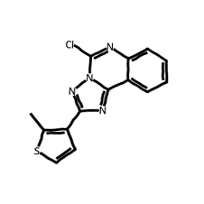 Cc1sccc1-c1nc2c3ccccc3nc(Cl)n2n1